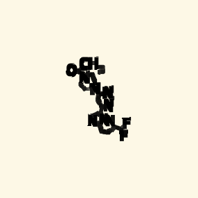 CC(=O)N1CCN(c2cc(-c3cnc4ccc(C(F)F)nn34)ncn2)CC1